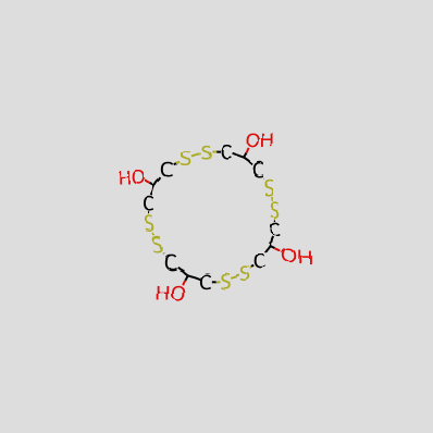 OC1CSSCC(O)CSSCC(O)CSSCC(O)CSSC1